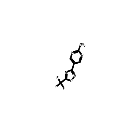 Nc1ncc(-c2noc(C(F)(F)F)n2)cn1